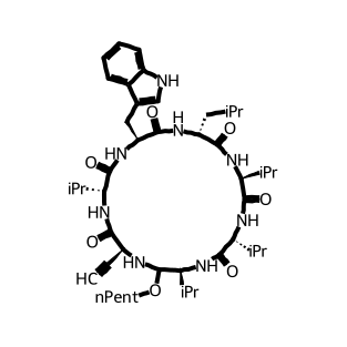 C#C[C@@H]1NC(OCCCCC)[C@H](C(C)C)NC(=O)[C@@H](C(C)C)NC(=O)[C@H](C(C)C)NC(=O)[C@@H](CC(C)C)NC(=O)[C@H](Cc2c[nH]c3ccccc23)NC(=O)[C@@H](C(C)C)NC1=O